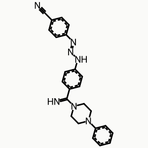 N#Cc1ccc(/N=N/Nc2ccc(C(=N)N3CCN(c4ccccc4)CC3)cc2)cc1